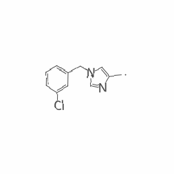 [CH2]c1cn(Cc2cccc(Cl)c2)cn1